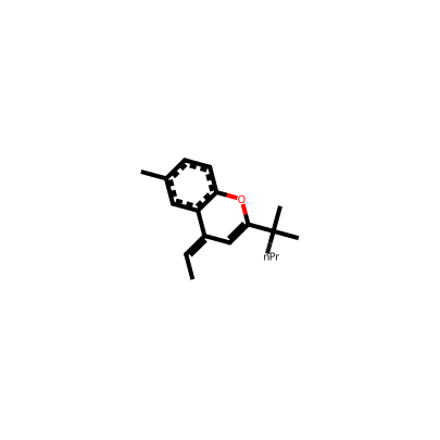 C/C=C1\C=C(C(C)(C)CCC)Oc2ccc(C)cc21